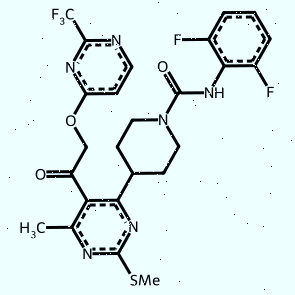 CSc1nc(C)c(C(=O)COc2ccnc(C(F)(F)F)n2)c(C2CCN(C(=O)Nc3c(F)cccc3F)CC2)n1